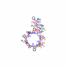 CC[C@H](C)[C@H](NC(=O)[C@H](C)N(C)C(=O)[C@H](CC(C)C)N(C)C(=O)[C@@H](NC(=O)C1CC(=O)N(C)[C@@H](C)C(=O)N[C@@H]([C@@H](C)O)C(=O)N(C)[C@@H](Cc2ccccc2)C(=O)N[C@@H](C(C)C)C(=O)N2CCC[C@H]2C(=O)N(C)C(Cc2ccccc2)C(=O)N[C@@H](CC(C)C)C(=O)N(C)[C@@H](Cc2ccccc2)C(=O)N1)C(C)C)C(O)N1CCCCC1